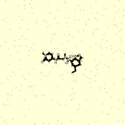 CCc1cc(S(=O)(=O)N(C)CC(=O)Nc2ccn(C)c(=O)c2)c2[nH]ncc2c1